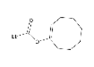 CCC(=O)O/C1=C/CCCCCC1